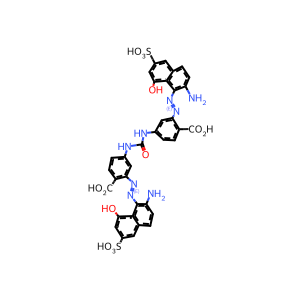 Nc1ccc2cc(S(=O)(=O)O)cc(O)c2c1/N=N/c1cc(NC(=O)Nc2ccc(C(=O)O)c(/N=N/c3c(N)ccc4cc(S(=O)(=O)O)cc(O)c34)c2)ccc1C(=O)O